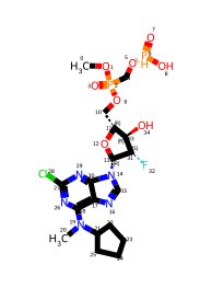 COP(=O)(CO[PH](=O)O)OC[C@H]1O[C@@H](n2cnc3c(N(C)C4CCCC4)nc(Cl)nc32)[C@@H](F)[C@@H]1O